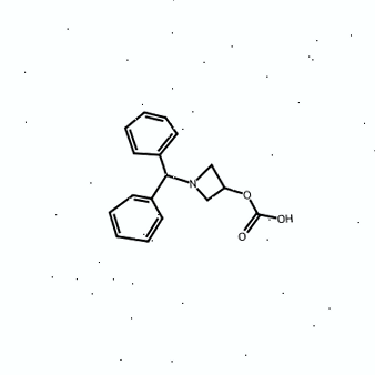 O=C(O)OC1CN(C(c2ccccc2)c2ccccc2)C1